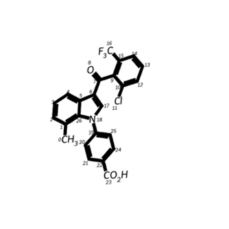 Cc1cccc2c(C(=O)c3c(Cl)cccc3C(F)(F)F)cn(-c3ccc(C(=O)O)cc3)c12